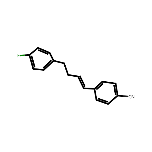 N#Cc1ccc(C=CCCc2ccc(F)cc2)cc1